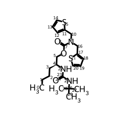 CCCC[C@@H](COC(=O)N(Cc1cccs1)Cc1cccs1)NC(=O)NC(C)(C)C